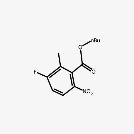 CCCCOC(=O)c1c([N+](=O)[O-])ccc(F)c1C